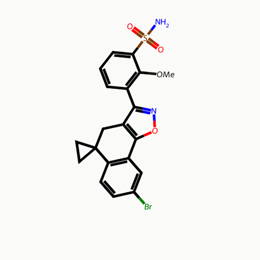 COc1c(-c2noc3c2CC2(CC2)c2ccc(Br)cc2-3)cccc1S(N)(=O)=O